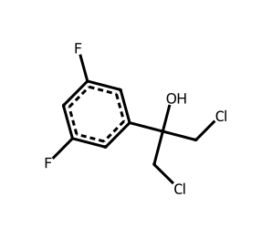 OC(CCl)(CCl)c1cc(F)cc(F)c1